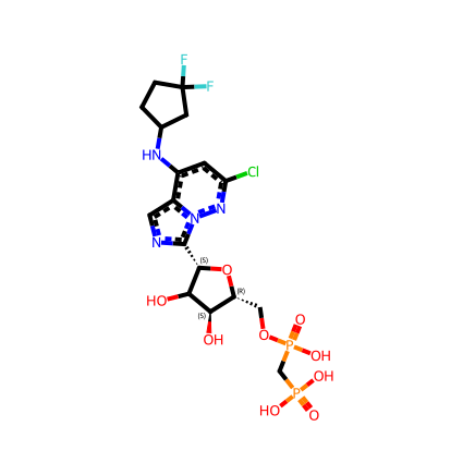 O=P(O)(O)CP(=O)(O)OC[C@H]1O[C@@H](c2ncc3c(NC4CCC(F)(F)C4)cc(Cl)nn23)C(O)[C@@H]1O